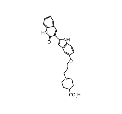 O=C(O)C1CCN(CCCOc2ccc3[nH]c(-c4cc5ccccc5[nH]c4=O)cc3c2)CC1